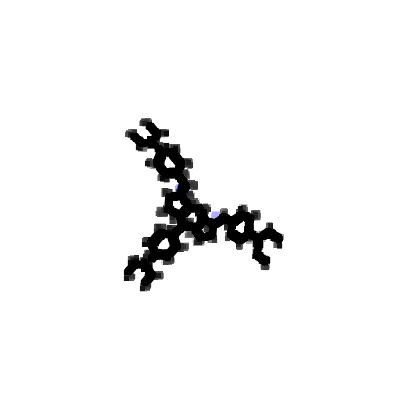 CCN(CC)c1ccc(/C=C2\CCc3c2nc2c(c3-c3ccc(N(CC)CC)cc3)CC/C2=C\c2ccc(N(CC)CC)cc2)cc1